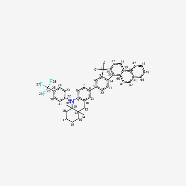 CC1(C)c2cc(-c3ccc4c(c3)CC3(C)CCCCC3(C)N4c3ccc(C(F)(F)F)cc3)ccc2-c2c1ccc1c2ccc2ccccc21